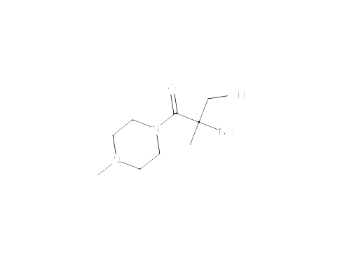 CN1CCN(C(=O)C(C)(N)CO)CC1